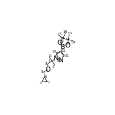 CC(C)(COCC1CC1)n1cc(B2OC(C)(C)C(C)(C)O2)cn1